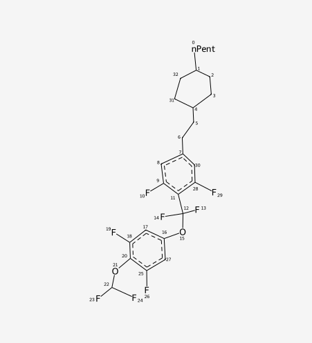 CCCCCC1CCC(CCc2cc(F)c(C(F)(F)Oc3cc(F)c(OC(F)F)c(F)c3)c(F)c2)CC1